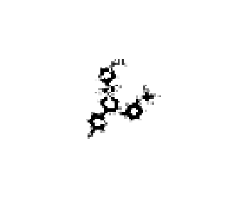 Cn1cnc(S(=O)(=O)N2CC(Nc3cccc(OC(F)(F)F)c3)C(c3ccc(F)cn3)C2)c1